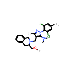 CCOCC1Cc2ccccc2CN1Cc1c(CC)nn(-c2c(Cl)cc(C(F)(F)F)cc2Cl)c1N(C)C